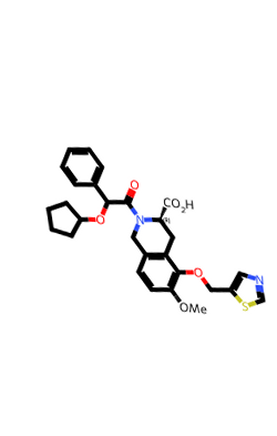 COc1ccc2c(c1OCc1cncs1)C[C@H](C(=O)O)N(C(=O)C(OC1CCCC1)c1ccccc1)C2